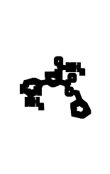 NC(=O)n1cc(-c2ccnc(N)n2)cc1C(=O)OCc1ccccc1